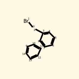 CBr.Cc1ccccc1.c1ccccc1